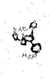 COc1cc(-c2cc(N3CCOC[C@H]3C)nc3c2ccn3-c2cc[nH]n2)ccn1